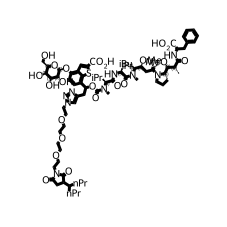 CCCC(CCC)C1CC(=O)N(CCOCCOCCOCCn2cc(CC(OC(=O)N(C)[C@H](C(=O)N[C@H](C(=O)N(C)[C@@H](C(C)CC)[C@@H](CC(=O)N3CCC[C@H]3[C@H](OC)[C@@H](C)C(=O)NC(Cc3ccccc3)C(=O)O)OC)C(C)C)C(C)C)c3ccc(O[C@@H]4O[C@H](CO)[C@H](O)[C@H](O)[C@H]4O)c4cc(C(=O)O)sc34)nn2)C1=O